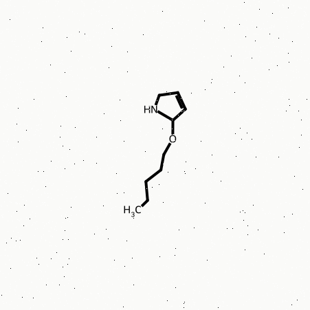 CCCCCOC1C=CCN1